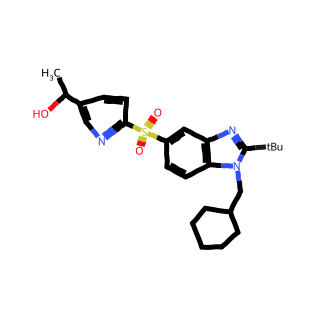 CC(O)c1ccc(S(=O)(=O)c2ccc3c(c2)nc(C(C)(C)C)n3CC2CCCCC2)nc1